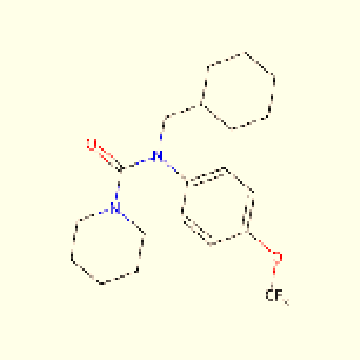 O=C(N1CCCCC1)N(CC1CCCCC1)c1ccc(OC(F)(F)F)cc1